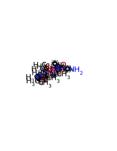 CC[C@H](C)[C@@H](C(CC(=O)N1CCC[C@H]1C(OC)[C@@H](C)C(=O)N[C@@H](Cc1ccccc1)C(=O)Nc1ccc(N)cc1)OC)N(C)C(=O)[C@@H](NC(=O)C(C(C)C)N(C)C)C(C)C